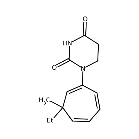 CCC1(C)C=CC=CC(N2CCC(=O)NC2=O)=C1